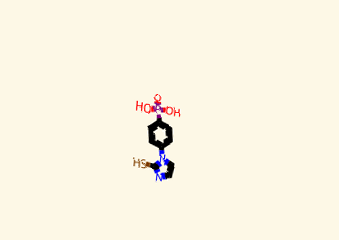 O=P(O)(O)c1ccc(-n2ccnc2S)cc1